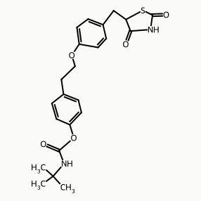 CC(C)(C)NC(=O)Oc1ccc(CCOc2ccc(CC3SC(=O)NC3=O)cc2)cc1